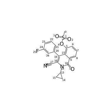 CS(=O)(=O)Oc1cccc2c(=O)n(C3CC3)c(C#N)c(-c3cccc(F)c3)c12